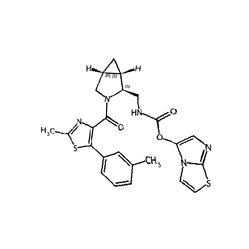 Cc1cccc(-c2sc(C)nc2C(=O)N2C[C@@H]3C[C@@H]3[C@H]2CNC(=O)Oc2cnc3sccn23)c1